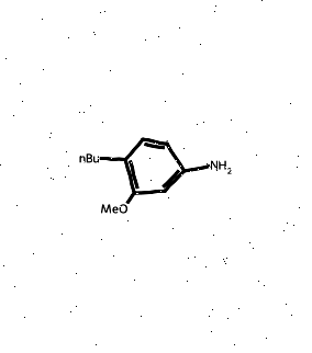 CCCCc1c[c]c(N)cc1OC